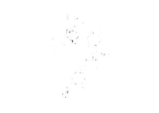 Cc1ccc(C(=O)N2CC(c3ccc(C#N)cc3)C2)cc1-c1[nH]c(C2CC2)nc1CO